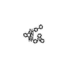 c1ccc(-c2ccc(-c3ncc4c5ccccc5c5cnc(-c6cccc(-n7c8ccccc8c8ccccc87)c6)nc5c4n3)cc2)cc1